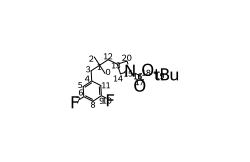 CC(C)(Cc1cc(F)cc(F)c1)CC1CN(C(=O)OC(C)(C)C)C1